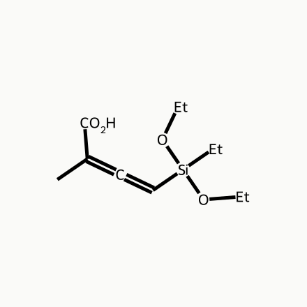 CCO[Si](C=C=C(C)C(=O)O)(CC)OCC